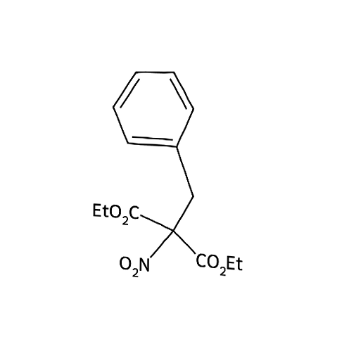 CCOC(=O)C(Cc1ccccc1)(C(=O)OCC)[N+](=O)[O-]